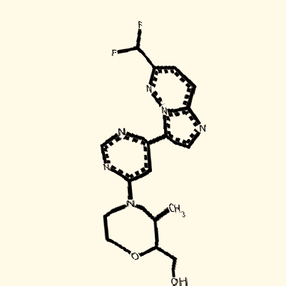 CC1C(CO)OCCN1c1cc(-c2cnc3ccc(C(F)F)nn23)ncn1